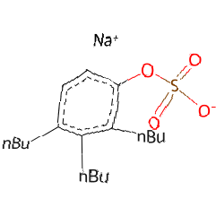 CCCCc1ccc(OS(=O)(=O)[O-])c(CCCC)c1CCCC.[Na+]